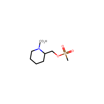 CS(=O)(=O)OCC1CCCCN1C(=O)O